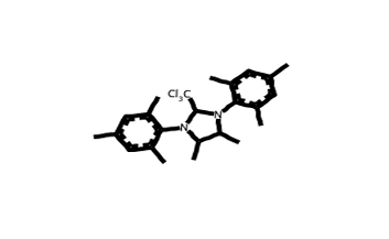 Cc1cc(C)c(N2C(C)C(C)N(c3c(C)cc(C)cc3C)C2C(Cl)(Cl)Cl)c(C)c1